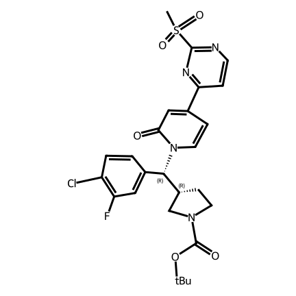 CC(C)(C)OC(=O)N1CC[C@@H]([C@H](c2ccc(Cl)c(F)c2)n2ccc(-c3ccnc(S(C)(=O)=O)n3)cc2=O)C1